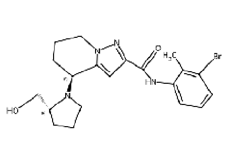 Cc1c(Br)cccc1NC(=O)c1cc2n(n1)CCC[C@@H]2N1CCC[C@@H]1CO